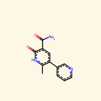 Cc1[nH]c(=O)c(C(N)=O)cc1-c1cccnc1